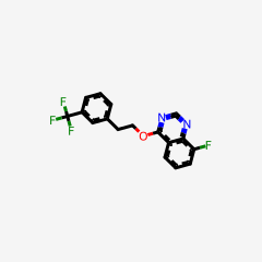 Fc1cccc2c(OCCc3cccc(C(F)(F)F)c3)ncnc12